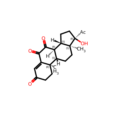 CC(=O)[C@@]1(O)CC[C@H]2[C@@H]3C(=O)C(=O)C4=CC(=O)CC[C@]4(C)[C@H]3CC[C@@]21C